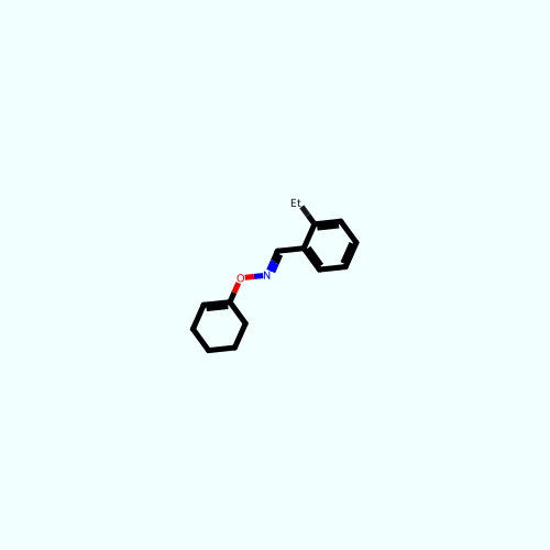 CCc1ccccc1[C]=NOC1=CCCCC1